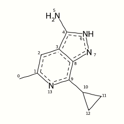 Cc1cc2c(N)[nH]nc2c(C2CC2)n1